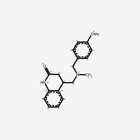 COc1ccc(CN(C)CC2CC(=O)Nc3ccccc32)cc1